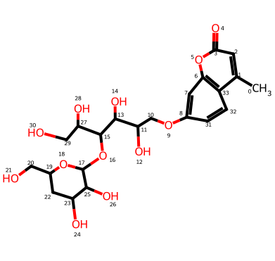 Cc1cc(=O)oc2cc(OCC(O)C(O)C(OC3OC(CO)CC(O)C3O)C(O)CO)ccc12